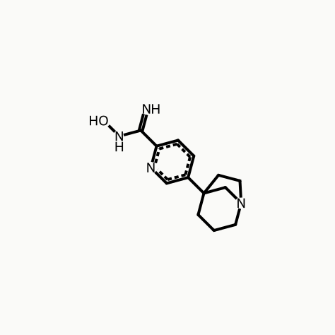 N=C(NO)c1ccc(C23CCCN(CC2)C3)cn1